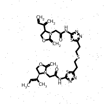 C=CC(=C)C1COC(=C)N1CC(=O)Nc1nnc(CCSCCc2nnc(NC(=O)CN3C(=C)OC[C@@H]3/C(C)=C/C)s2)s1